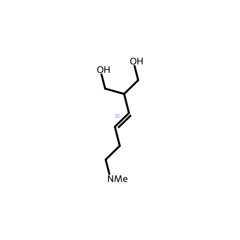 CNCC/C=C/C(CO)CO